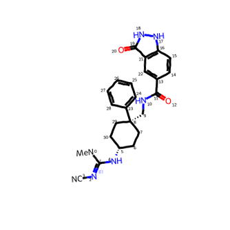 CN/C(=N\C#N)N[C@H]1CC[C@](CNC(=O)c2ccc3[nH][nH]c(=O)c3c2)(c2ccccc2)CC1